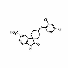 O=C(O)c1ccc2c(c1)[C@]1(CC[C@H](Oc3ccc(Cl)cc3Cl)CC1)C(=O)N2